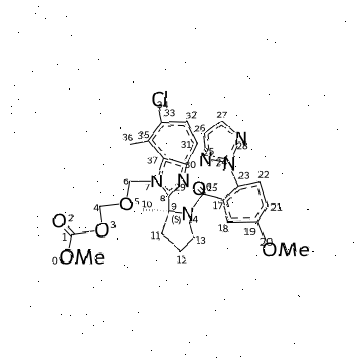 COC(=O)OCOCn1c([C@]2(C)CCCN2C(=O)c2cc(OC)ccc2-n2nccn2)nc2ccc(Cl)c(C)c21